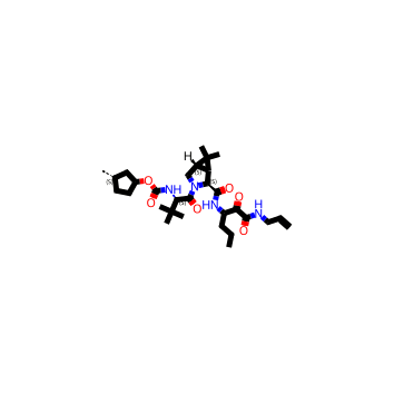 C=CCNC(=O)C(=O)C(CCC)NC(=O)[C@@H]1C2[C@H](CN1C(=O)[C@@H](NC(=O)OC1CC[C@H](C)C1)C(C)(C)C)C2(C)C